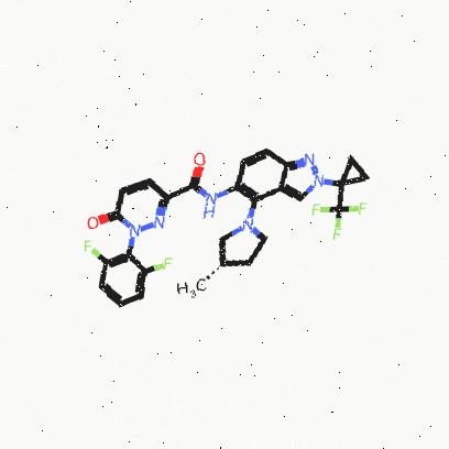 C[C@H]1CCN(c2c(NC(=O)c3ccc(=O)n(-c4c(F)cccc4F)n3)ccc3nn(C4(C(F)(F)F)CC4)cc23)C1